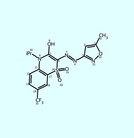 Cc1cc(N=NC2=C(O)N(C(C)C)c3ccc(C(F)(F)F)cc3S2(=O)=O)no1